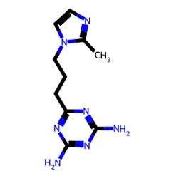 Cc1nccn1CCCc1nc(N)nc(N)n1